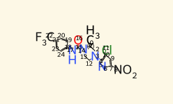 C[C@@H]1CN(c2ncc([N+](=O)[O-])cc2Cl)CCN1C(=O)Nc1ccc(C(F)(F)F)cc1